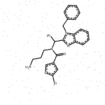 CCc1cc(C(=O)N(CCCN)C(c2nc3ccccc3n2Cc2ccccc2)C(C)C)cs1